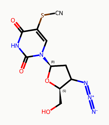 N#CSc1cn([C@H]2CC(N=[N+]=[N-])[C@@H](CO)O2)c(=O)[nH]c1=O